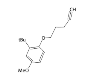 C#CCCCOc1ccc(OC)cc1C(C)(C)C